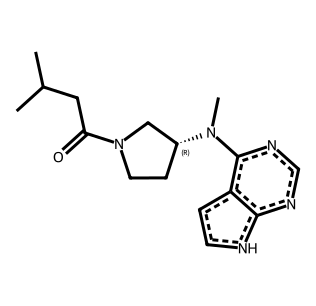 CC(C)CC(=O)N1CC[C@@H](N(C)c2ncnc3[nH]ccc23)C1